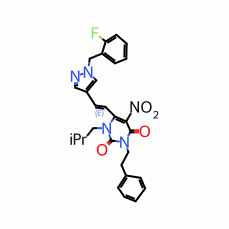 CC(C)Cn1c(/C=C/c2cnn(Cc3ccccc3F)c2)c([N+](=O)[O-])c(=O)n(CCc2ccccc2)c1=O